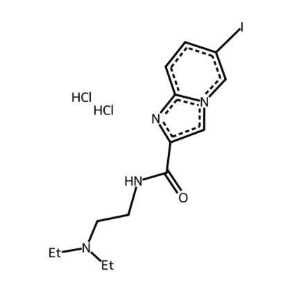 CCN(CC)CCNC(=O)c1cn2cc(I)ccc2n1.Cl.Cl